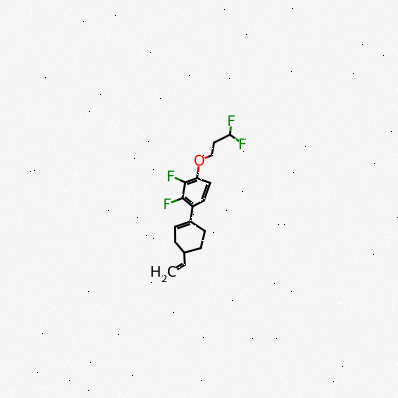 C=CC1CC=C(c2ccc(OCCC(F)F)c(F)c2F)CC1